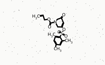 C=CCOC(=O)N1CC(=O)C=C(OS(=O)(=O)c2c(C)cc(C)cc2C)C1